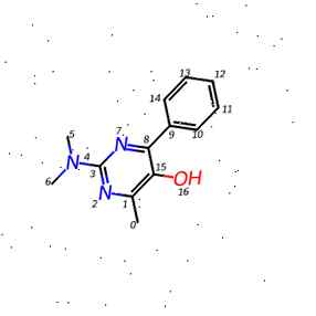 Cc1nc(N(C)C)nc(-c2ccccc2)c1O